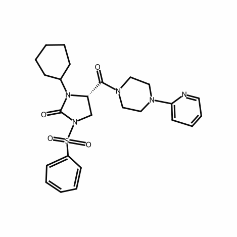 O=C([C@@H]1CN(S(=O)(=O)c2ccccc2)C(=O)N1C1CCCCC1)N1CCN(c2ccccn2)CC1